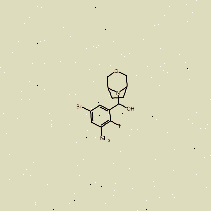 Nc1cc(Br)cc(C(O)N2C3CCC2COC3)c1F